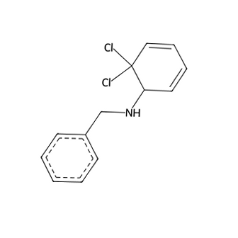 ClC1(Cl)C=CC=CC1NCc1ccccc1